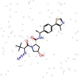 Cc1ncsc1-c1ccc([C@H](C)NC(=O)[C@@H]2C[C@@H](O)CN2C(=O)[C@@H](N=[N+]=[N-])C(C)(C)C)cc1